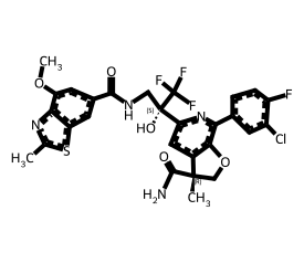 COc1cc(C(=O)NC[C@](O)(c2cc3c(c(-c4ccc(F)c(Cl)c4)n2)OC[C@]3(C)C(N)=O)C(F)(F)F)cc2sc(C)nc12